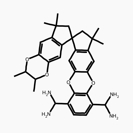 CC1Oc2cc3c(cc2OC1C)C1(CC(C)(C)c2cc4c(cc21)OC1=C(O4)C(C(N)N)=C=C=C1C(N)N)CC3(C)C